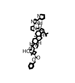 C=C(C)C1CC[C@]2(C(=O)N3CCC[C@H]3c3ncc(-c4ccccn4)[nH]3)CC[C@]3(C)[C@H](CC[C@@H]4[C@]5(C)CC[C@H]([C@@]6(C(=O)O)C[C@@H](C(=O)OCc7ccccc7)C6(C)C)C(C)(C)[C@H]5CC[C@]43C)[C@@H]12